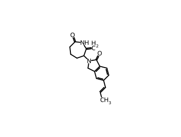 C=C1NC(=O)CCCC1N1Cc2cc(C=CC)ccc2C1=O